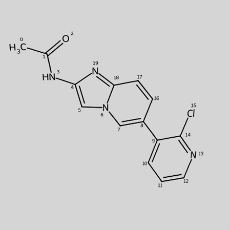 CC(=O)Nc1cn2cc(-c3cccnc3Cl)ccc2n1